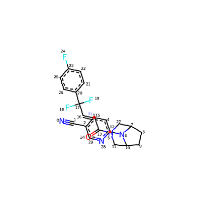 N#Cc1ccc(N2C3CCC2CN(C(=O)/C=C/C(F)(F)c2ccc(F)cc2)C3)nc1